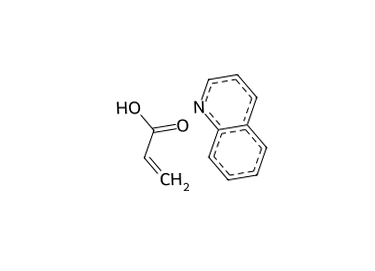 C=CC(=O)O.c1ccc2ncccc2c1